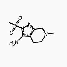 CN1CCc2c(nn(S(C)(=O)=O)c2N)C1